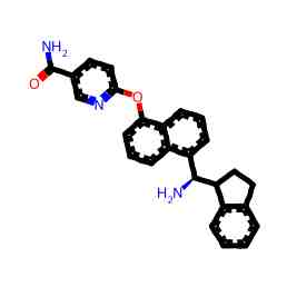 NC(=O)c1ccc(Oc2cccc3c([C@H](N)C4CCc5ccccc54)cccc23)nc1